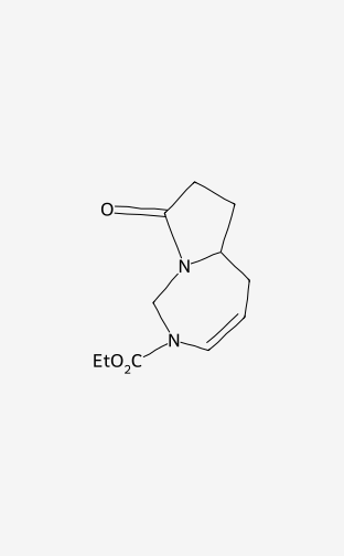 CCOC(=O)N1C=CCC2CCC(=O)N2C1